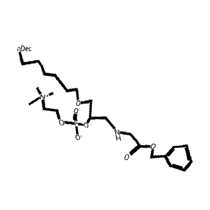 CCCCCCCCCCCCCCCCOCC(CNCC(=O)OCc1ccccc1)OP(=O)([O-])OCC[N+](C)(C)C